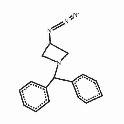 [N-]=[N+]=NC1CN(C(c2ccccc2)c2ccccc2)C1